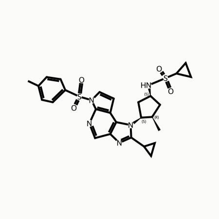 Cc1ccc(S(=O)(=O)n2ccc3c2ncc2nc(C4CC4)n([C@H]4C[C@@H](NS(=O)(=O)C5CC5)C[C@H]4C)c23)cc1